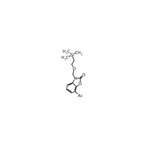 CC(=O)c1cccc2c1oc(=O)n2COCC[Si](C)(C)C